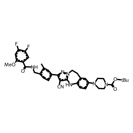 COc1cc(F)c(F)cc1C(=O)NCc1ccc(-c2nn3c(c2C#N)Nc2ccc(N4CCN(C(=O)OC(C)(C)C)CC4)cc2CC3)cc1C